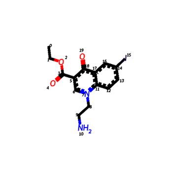 CCOC(=O)c1cn(CCN)c2ccc(I)cc2c1=O